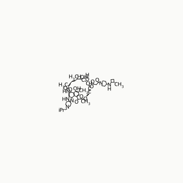 C/C1=C/C=C/C(C)[C@H](O)CC(O)C[C@H](OC(=O)CC(=O)N2CCC(NC3CC[C@H]3C)CC2)CC/C=C/O[C@@]2(C)Oc3c(C)c(O)c4c(c3C2=O)C2=NC3(CCN(CC(C)C)CC3)NC2=C(NC1=O)C4=O